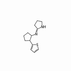 c1csc(C2CCCC2/N=C2\CCCN2)c1